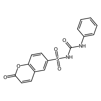 O=C(Nc1ccccc1)NS(=O)(=O)c1ccc2oc(=O)ccc2c1